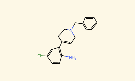 Nc1ccc(Cl)cc1C1=CCN(Cc2ccccc2)CC1